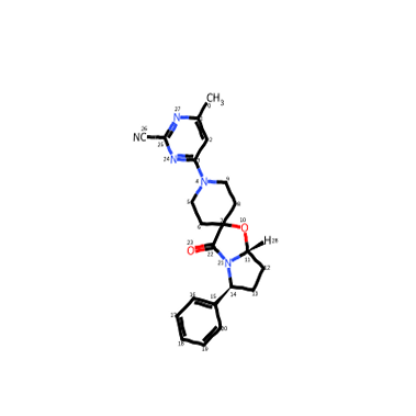 Cc1cc(N2CCC3(CC2)O[C@@H]2CC[C@@H](c4ccccc4)N2C3=O)nc(C#N)n1